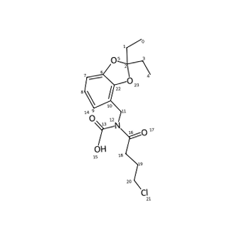 CCC1(CC)Oc2cccc(CN(C(=O)O)C(=O)CCCCl)c2O1